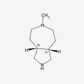 CN1CC[C@@H]2CNC[C@@H]2CC1